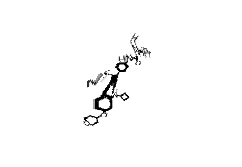 CC(C)NC(=O)Nc1ccc(-c2c(C#N)c3ccc(OC4CCOCC4)cc3n2C2CCC2)cc1